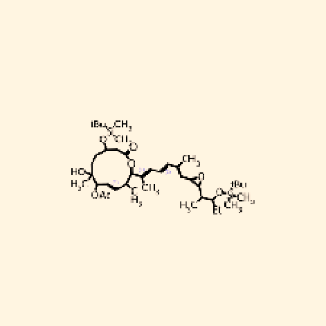 CCC(O[Si](C)(C)C(C)(C)C)C(C)C1OC1CC(C)/C=C/C=C(\C)C1OC(=O)CC(O[Si](C)(C)C(C)(C)C)CCC(C)(O)C(OC(C)=O)/C=C/C1C